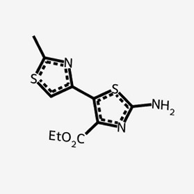 CCOC(=O)c1nc(N)sc1-c1csc(C)n1